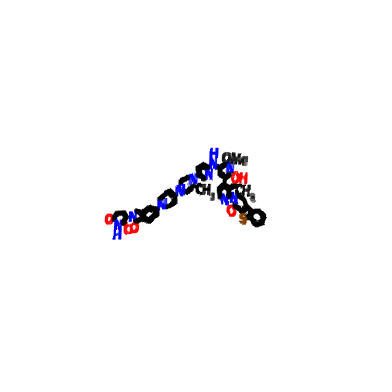 COc1ncc(-c2ccnc(N3CCc4c(sc5c4CCCC5)C3=O)c2C(C)O)cc1Nc1ccc(N2CCN(C3CCN(c4ccc5c(c4)CN([C@H]4CCC(=O)NC4=O)C5=O)CC3)C[C@@H]2C)cn1